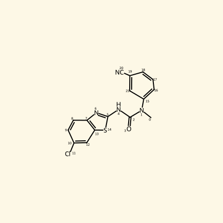 CN(C(=O)Nc1nc2ccc(Cl)cc2s1)c1cccc(C#N)c1